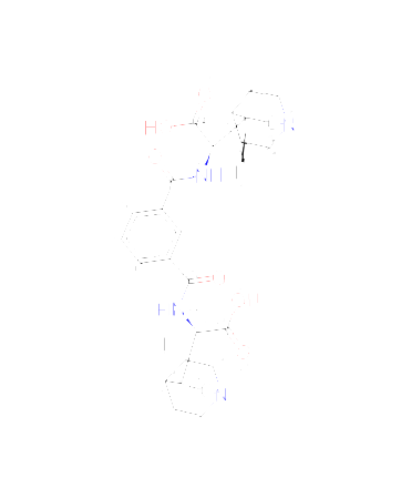 O=C(N[C@@H](C(=O)O)[C@H]1CN2CCC1CC2)c1cccc(C(=O)N[C@@H](C(=O)O)[C@H]2CN3CCC2CC3)c1